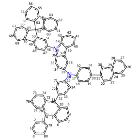 c1ccc(-c2c3ccccc3c(-c3ccc(N(c4ccc(-c5ccc6ccccc6c5)cc4)c4ccc5c(c4)c4ccccc4n5-c4ccc5c(c4)C(c4ccccc4)(c4ccccc4)c4ccccc4-5)cc3)c3ccccc23)cc1